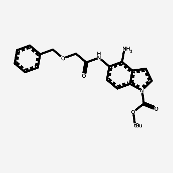 CC(C)(C)OC(=O)n1ccc2c(N)c(NC(=O)COCc3ccccc3)ccc21